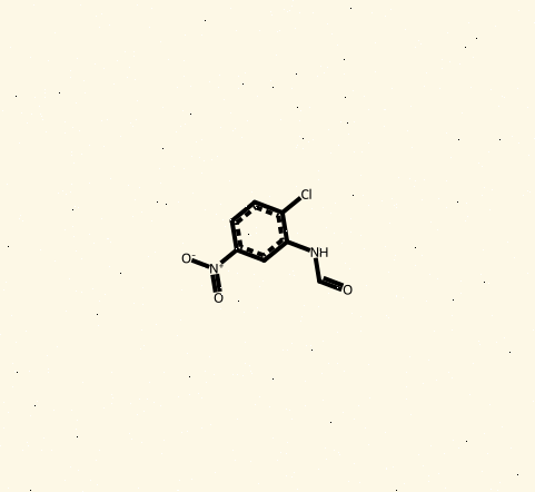 O=CNc1cc([N+](=O)[O-])ccc1Cl